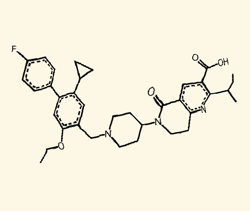 CCOc1cc(-c2ccc(F)cc2)c(C2CC2)cc1CN1CCC(N2CCc3nc(C(C)C)c(C(=O)O)cc3C2=O)CC1